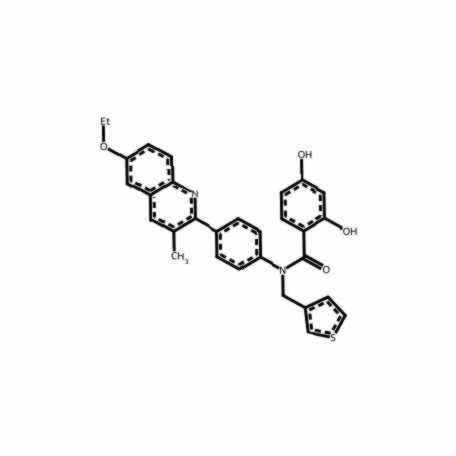 CCOc1ccc2nc(-c3ccc(N(Cc4ccsc4)C(=O)c4ccc(O)cc4O)cc3)c(C)cc2c1